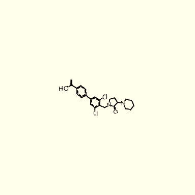 C=C(O)c1ccc(-c2cc(Cl)c(CN3CCC(N4CCCCC4)C3=O)c(Cl)c2)cc1